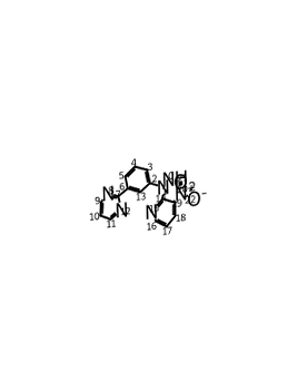 NN(c1cccc(-c2ncccn2)c1)c1ncccc1[N+](=O)[O-]